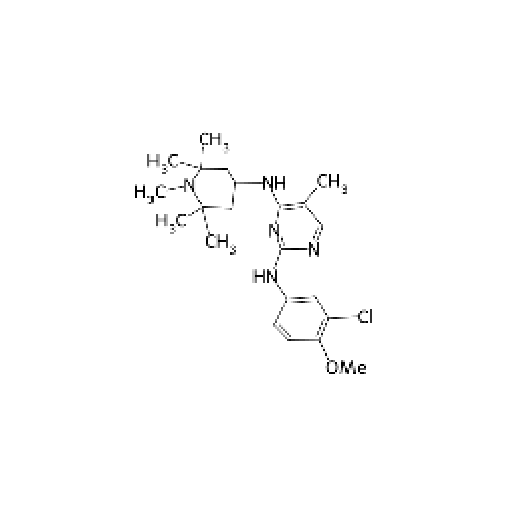 COc1ccc(Nc2ncc(C)c(NC3CC(C)(C)N(C)C(C)(C)C3)n2)cc1Cl